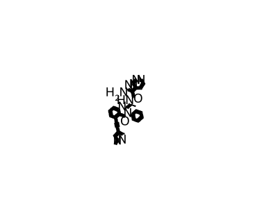 C[C@H](NC(=O)c1c(N)nn2nnccc12)c1nc2cccc(C#Cc3cnn(C)c3)c2c(=O)n1-c1ccccc1